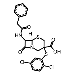 O=C(Cc1ccccc1)NC1C(=O)N2CC(Sc3cc(Cl)ccc3Cl)(C(=O)O)CS[C@H]12